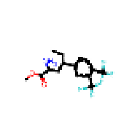 CCC(CC(N)C(=O)OC)c1ccc(C(F)(F)F)c(C(F)(F)F)c1